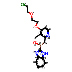 Cc1c(OCCOCCCl)ccnc1C[S+]([O-])c1nc2ccccc2[nH]1